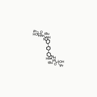 CC(C)CC(C)(O)C(=O)NC(c1nc2cc(-c3ccc(-c4ccc5[nH]c([C@@H](NC(=O)C(C)(O)CC(C)C)C(C)(C)C)nc5c4)cc3)ccc2[nH]1)C(C)(C)C